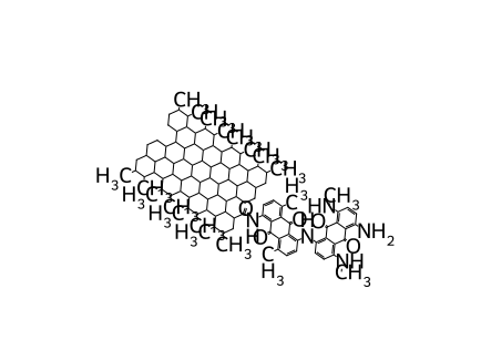 CNc1ccc(N)c2c1C(=O)c1c(Nc3ccc(C)c4c3C(=O)c3c(C)ccc(NC(=O)C5CC(C)C(C)C6C5C5C7CCC8CC(C)C(C)C9C8C7C7C8C9C(C)C(C)C9C%10C(C)C(C)C%11C%12C(C)C(C)CCC%12C%12C%13CCC%14CC(C)C(C)C%15C%14C%13C%13C%14C%15C(C)C(C)C%15C%16C(C)C(C)C6C6C%16C%16C(C%15%14)C%14C%13C%12C%11C%10C%14C(C98)C%16C7C56)c3C4=O)ccc(NC)c1C2=O